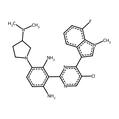 CN(C)C1CCN(c2ccc(N)c(-c3ncc(Cl)c(-c4cn(C)c5c(F)cccc45)n3)c2N)C1